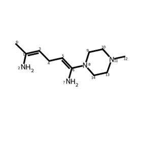 C/C(N)=C/C/C=C(\N)N1CCN(C)CC1